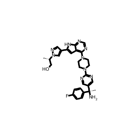 C[C@@H](CO)n1cc(-c2cc3c(N4CCN(c5ncc([C@@](C)(N)c6ccc(F)cc6)cn5)CC4)ncnc3[nH]2)cn1